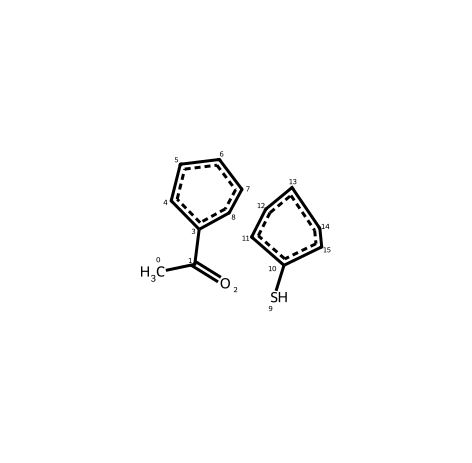 CC(=O)c1ccccc1.Sc1ccccc1